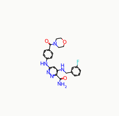 NC(=O)c1nnc(Nc2ccc(C(=O)N3CCOCC3)cc2)cc1NCc1cccc(F)c1